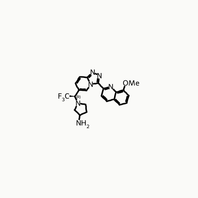 COc1cccc2ccc(-c3nnc4ccc([C@@H](N5CCC(N)C5)C(F)(F)F)cn34)nc12